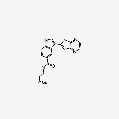 COCCNC(=O)c1ccc2[nH]cc(-c3cc4nccnc4[nH]3)c2c1